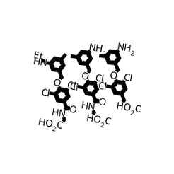 CCNc1cc(C)cc(COc2c(Cl)cc(C(=O)NCC(=O)O)cc2Cl)c1.Cc1cc(N)cc(COc2c(Cl)cc(C(=O)NCC(=O)O)cc2Cl)c1.Cc1cc(N)cc(COc2c(Cl)cc(CC(=O)O)cc2Cl)c1